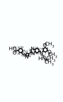 COc1cc(OC)cc(N(CCNC(C)C)c2ccc3ncc(-c4cnn(Cc5cccc(C(=O)O)c5)c4)nc3c2)c1